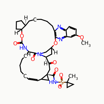 COc1ccc2nc3c(nc2c1)O[C@@H]1C[C@H]2C(=O)C[C@]4(C(=O)NS(=O)(=O)C5(C)CC5)CC4/C=C\CCCCC[C@H](NC(=O)O[C@@H]4CCC[C@H]4CCCCC3)C(=O)N2C1